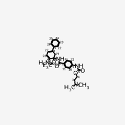 CN(C)CCOC(=O)Nc1ccc(C(=O)NC2(OC(F)(F)F)CC(c3ccccc3)=CC=C2N)cc1